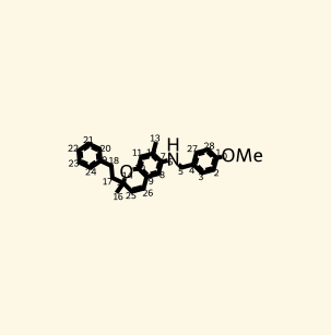 COc1ccc(CNc2cc3c(cc2C)OC(C)(CCc2ccccc2)C=C3)cc1